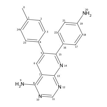 Cc1ccc(-c2cc3c(N)ncnc3nc2-c2ccc(N)cc2)cc1